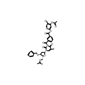 CC(=O)OC[C@H]1O[C@@H](n2cc(F)c(=O)n(C(=O)c3cccc(C(=O)Oc4cc(OC(C)=O)c(Cl)cn4)c3)c2=O)C[C@@H]1OCc1ccccc1